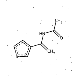 C=C(NC(C)=O)c1ccsc1